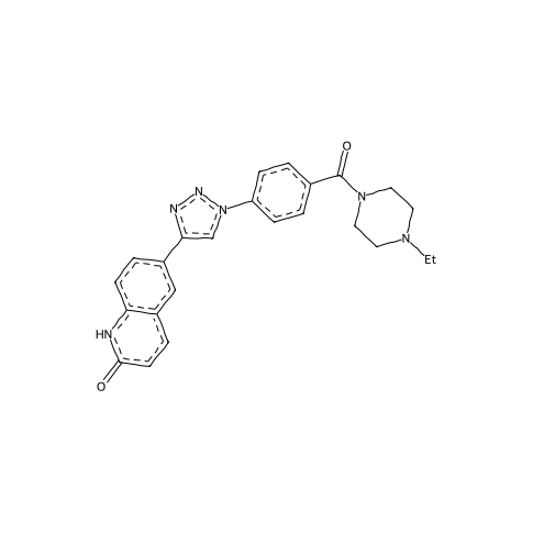 CCN1CCN(C(=O)c2ccc(-n3cc(-c4ccc5[nH]c(=O)ccc5c4)nn3)cc2)CC1